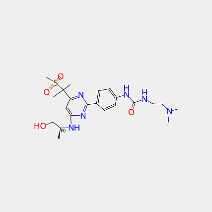 C[C@@H](CO)Nc1cc(C(C)(C)S(C)(=O)=O)nc(-c2ccc(NC(=O)NCCN(C)C)cc2)n1